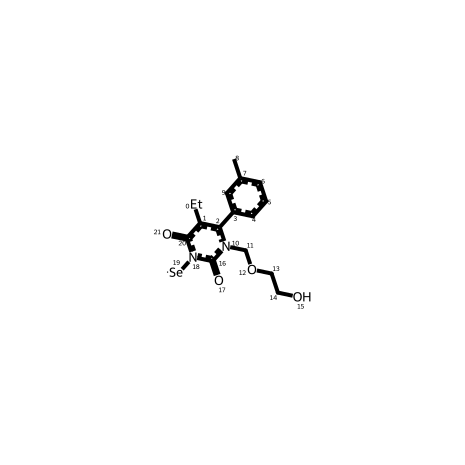 CCc1c(-c2cccc(C)c2)n(COCCO)c(=O)n([Se])c1=O